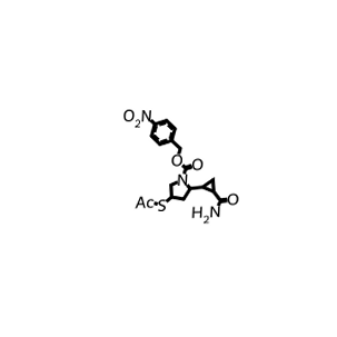 CC(=O)SC1CC(C2CC2C(N)=O)N(C(=O)OCc2ccc([N+](=O)[O-])cc2)C1